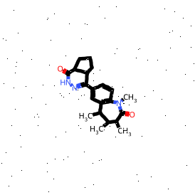 CC1C(=O)N(C)c2ccc(C3=NNC(=O)C4CCCC34)cc2C(C)C1C